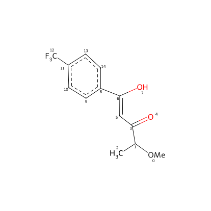 COC(C)C(=O)C=C(O)c1ccc(C(F)(F)F)cc1